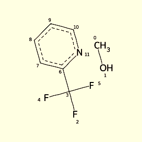 CO.FC(F)(F)c1ccccn1